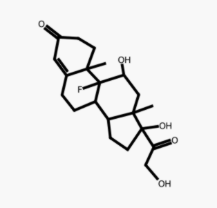 CC12CCC(=O)C=C1CCC1C3CCC(O)(C(=O)CO)C3(C)CC(O)C12F